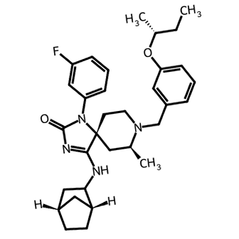 CC[C@@H](C)Oc1cccc(CN2CC[C@@]3(C[C@@H]2C)C(NC2C[C@H]4CC[C@@H]2C4)=NC(=O)N3c2cccc(F)c2)c1